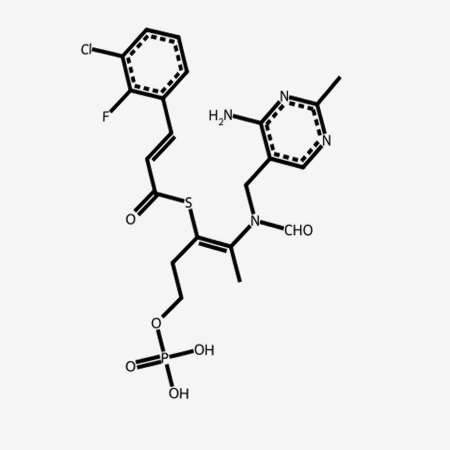 C/C(=C(\CCOP(=O)(O)O)SC(=O)/C=C/c1cccc(Cl)c1F)N(C=O)Cc1cnc(C)nc1N